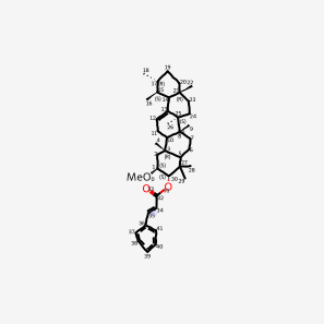 CO[C@H]1C[C@@]2(C)C(CC[C@]3(C)C2CC=C2C4[C@@H](C)[C@H](C)CC[C@]4(C)CC[C@]23C)C(C)(C)[C@@H]1OC(=O)/C=C/c1ccccc1